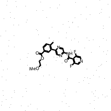 COCCOC(=O)c1ccc(C)c(-c2cnc(NC(=O)c3c(F)cncc3F)cn2)c1